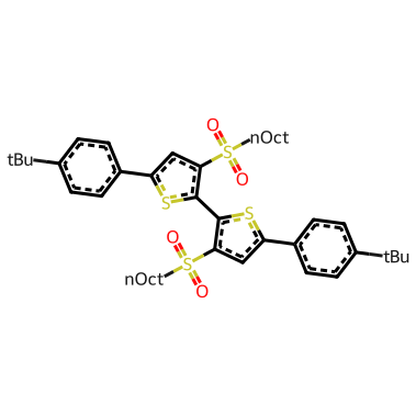 CCCCCCCCS(=O)(=O)c1cc(-c2ccc(C(C)(C)C)cc2)sc1-c1sc(-c2ccc(C(C)(C)C)cc2)cc1S(=O)(=O)CCCCCCCC